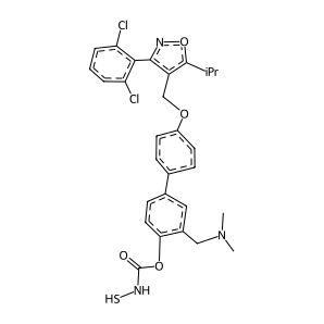 CC(C)c1onc(-c2c(Cl)cccc2Cl)c1COc1ccc(-c2ccc(OC(=O)NS)c(CN(C)C)c2)cc1